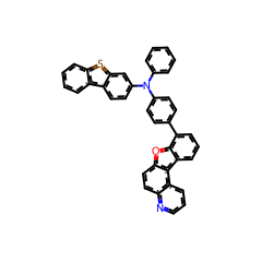 c1ccc(N(c2ccc(-c3cccc4c3oc3ccc5ncccc5c34)cc2)c2ccc3c(c2)sc2ccccc23)cc1